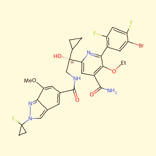 CCOc1c(C(N)=O)cc([C@@](O)(CNC(=O)c2cc(OC)c3nn(C4(F)CC4)cc3c2)C2CC2)nc1-c1cc(Br)c(F)cc1F